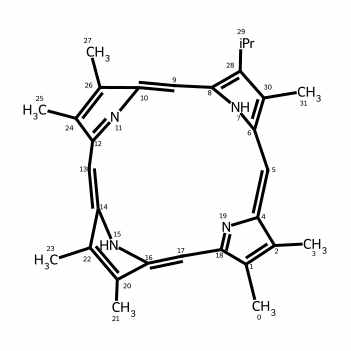 CC1=C(C)c2cc3[nH]c(cc4nc(cc5[nH]c(cc1n2)c(C)c5C)C(C)=C4C)c(C(C)C)c3C